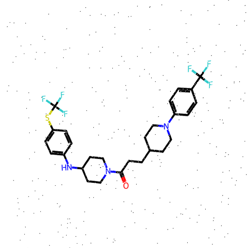 O=C(CCC1CCN(c2ccc(C(F)(F)F)cc2)CC1)N1CCC(Nc2ccc(SC(F)(F)F)cc2)CC1